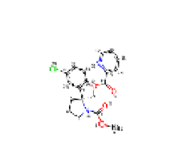 CC(C)(C)OC(=O)N1CCC[C@@]1(COC(=O)c1ccccn1)c1cccc(Cl)c1